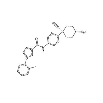 Cc1ccccc1-n1ccc(C(=O)Nc2ccc([C@]3(C#N)CC[C@@H](O)CC3)nc2)c1